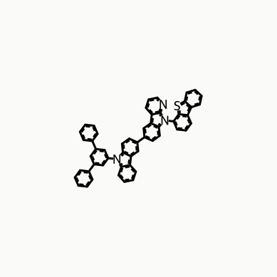 c1ccc(-c2cc(-c3ccccc3)cc(-n3c4ccccc4c4cc(-c5ccc6c(c5)c5cccnc5n6-c5cccc6c5sc5ccccc56)ccc43)c2)cc1